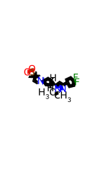 CC(C)n1nc(C2CCC(F)(F)CC2)cc1[C@H]1[C@@H]2C[C@@H](N3CCC4(C3)CS(=O)(=O)C4)C[C@@H]21